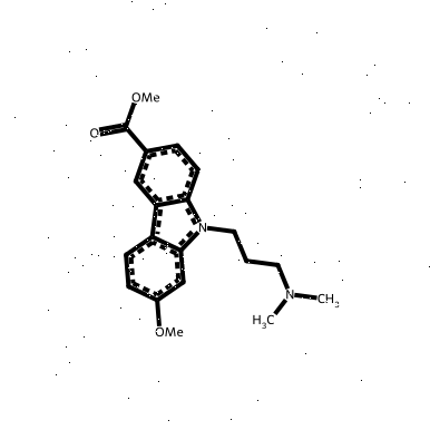 COC(=O)c1ccc2c(c1)c1ccc(OC)cc1n2CCCN(C)C